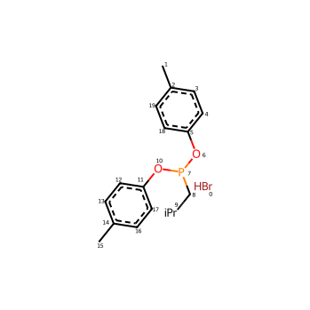 Br.Cc1ccc(OP(CC(C)C)Oc2ccc(C)cc2)cc1